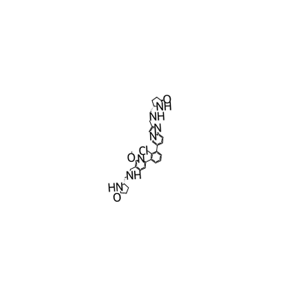 COc1nc(-c2cccc(-c3ccc4nc(CNC[C@@H]5CCC(=O)N5)cn4c3)c2Cl)ccc1CNC[C@@H]1CCC(=O)N1